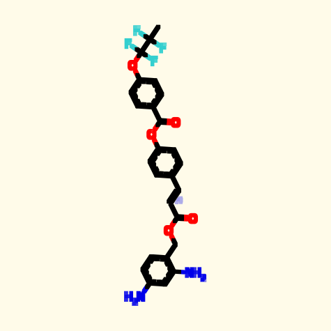 CC(F)(F)C(F)(F)Oc1ccc(C(=O)Oc2ccc(/C=C/C(=O)OCc3ccc(N)cc3N)cc2)cc1